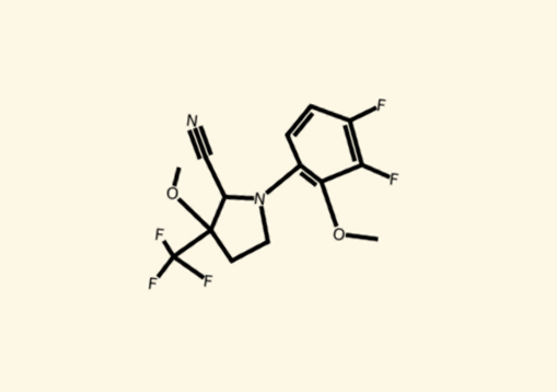 COc1c(N2CCC(OC)(C(F)(F)F)C2C#N)ccc(F)c1F